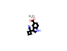 COC(=O)c1ccc2[nH]cc(C3(C#N)CCC3)c2c1